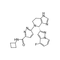 O=C(NC1CCC1)c1ccc(N2CCc3[nH]cnc3[C@@H]2c2cc3c(F)cccn3n2)nn1